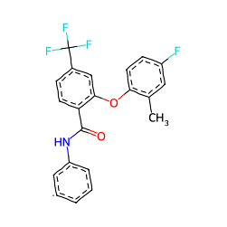 Cc1cc(F)ccc1Oc1cc(C(F)(F)F)ccc1C(=O)Nc1c[c]ccc1